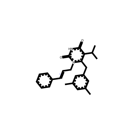 Cc1cc(C)cc(Cc2c(C(C)C)c(=O)[nH]c(=O)n2C/C=C/c2ccccc2)c1